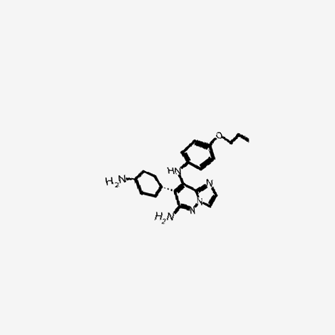 CCCOc1ccc(Nc2c3nccn3nc(N)c2[C@H]2CC[C@H](N)CC2)cc1